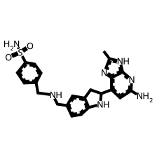 Cc1nc2c(C3Cc4cc(CNCc5ccc(S(N)(=O)=O)cc5)ccc4N3)cc(N)nc2[nH]1